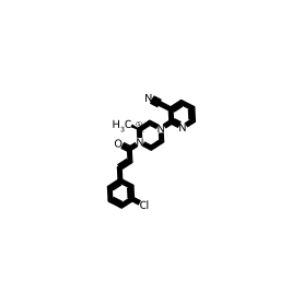 C[C@H]1CN(c2ncccc2C#N)CCN1C(=O)C=Cc1cccc(Cl)c1